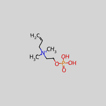 C=CC[N+](C)(C)CCOP(=O)(O)O